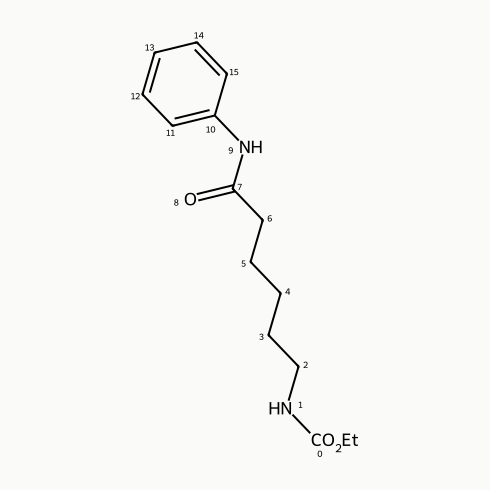 CCOC(=O)NCCCCCC(=O)Nc1ccccc1